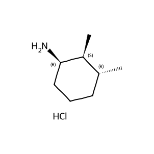 C[C@H]1[C@H](C)CCC[C@H]1N.Cl